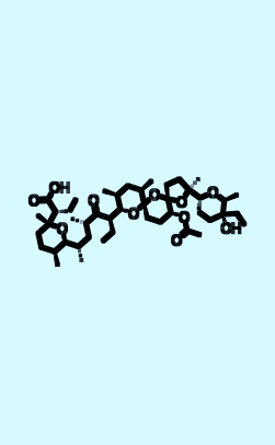 CC[C@@H](C(=O)[C@@H](C)C[C@H](C)[C@@H]1O[C@@](C)([C@@H](CC)C(=O)O)CC[C@@H]1C)[C@H]1O[C@]2(CC[C@@H](OC(C)=O)[C@]3(CC[C@@](C)([C@H]4CC[C@](O)(CC)[C@H](C)O4)O3)O2)[C@H](C)C[C@@H]1C